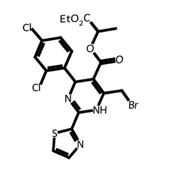 CCOC(=O)C(C)OC(=O)C1=C(CBr)NC(c2nccs2)=NC1c1ccc(Cl)cc1Cl